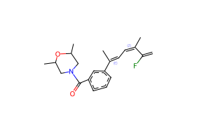 C=C(F)/C(C)=C\C=C(/C)c1cccc(C(=O)N2CC(C)OC(C)C2)c1